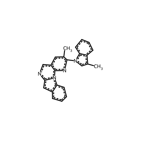 Cc1cc2cnc3cc4ccccc4n3c2nc1-n1cc(C)c2ccccc21